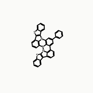 c1ccc(-c2cc3c4c(c2)-n2c5c(cccc5c5sc6ccccc6c52)B4n2c4sc5ccccc5c4c4cccc-3c42)cc1